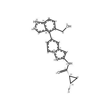 O=C(Nc1cc2cc(-c3c(CO)ccc4[nH]ncc34)ccn2n1)[C@@H]1C[C@@H]1F